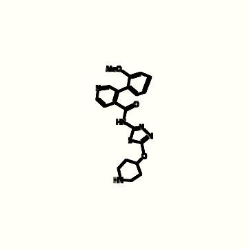 COc1ccccc1-c1cnccc1C(=O)Nc1nnc(OC2CCNCC2)s1